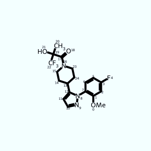 COc1cc(F)ccc1-n1nccc1C1CCN(C(=O)C(C)(O)C(F)(F)F)CC1